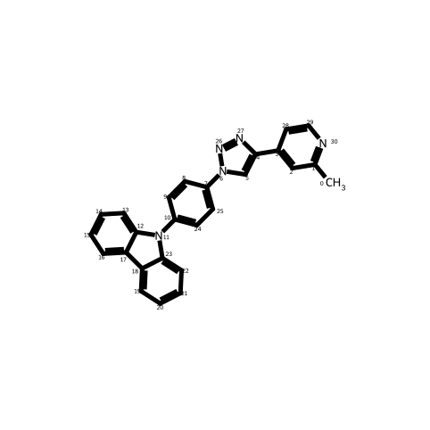 Cc1cc(-c2cn(-c3ccc(-n4c5ccccc5c5ccccc54)cc3)nn2)ccn1